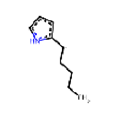 CCCC[CH]c1ccc[nH]1